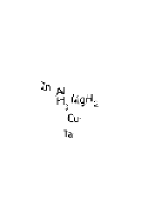 [AlH3].[Cu].[MgH2].[Ta].[Zn]